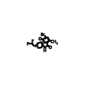 Cc1cc(Br)c(=O)n2c1C(=O)NC21CCN(CC(F)F)CC1